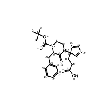 CC(C)(C)OC(=O)N1CCN(C2(CCC(=O)O)C=NC=N2)C(=O)[C@H]1Cc1ccccc1